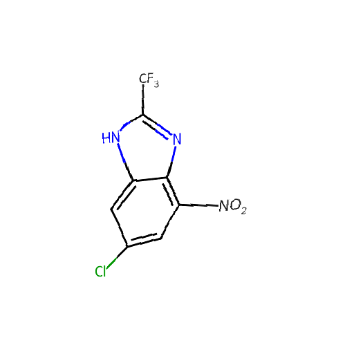 O=[N+]([O-])c1cc(Cl)cc2[nH]c(C(F)(F)F)nc12